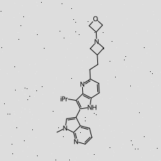 CC(C)c1c(-c2cn(C)c3ncccc23)[nH]c2ccc(CCC3CN(C4COC4)C3)nc12